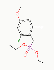 CCOP(=O)(Cc1c(F)cc(OC)cc1F)OCC